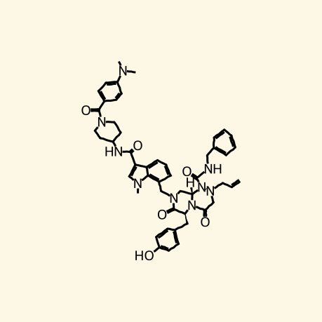 C=CCN1CC(=O)N2[C@@H](Cc3ccc(O)cc3)C(=O)N(Cc3cccc4c(C(=O)NC5CCN(C(=O)c6ccc(N(C)C)cc6)CC5)cn(C)c34)C[C@@H]2N1C(=O)NCc1ccccc1